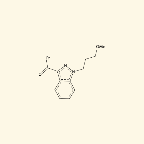 COCCCn1nc(C(=O)C(C)C)c2ccccc21